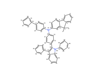 CC1(C)c2ccccc2-c2ccc(N(c3ccc(-c4ccccc4)cc3)c3ccc(-c4c(-c5ccccc5)c5ccccc5n4-c4ccccc4)cc3)cc21